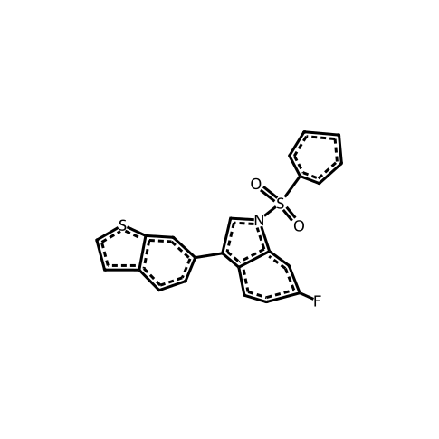 O=S(=O)(c1ccccc1)n1cc(-c2ccc3ccsc3c2)c2ccc(F)cc21